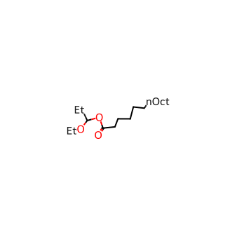 CCCCCCCCCCCCCC(=O)OC(CC)OCC